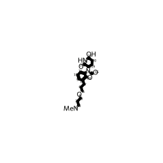 CNCCCOCCCc1cccc2c1oc(=O)n2C1CCC(O)NC1=O